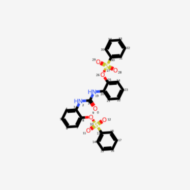 O=C(Nc1ccccc1OS(=O)(=O)c1ccccc1)Nc1ccccc1OS(=O)(=O)c1ccccc1